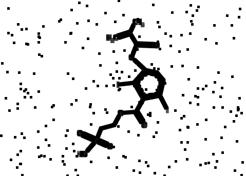 C=C(C)C(=O)Oc1ccc(I)c(C(=O)OCCS(=O)(=O)O)c1I